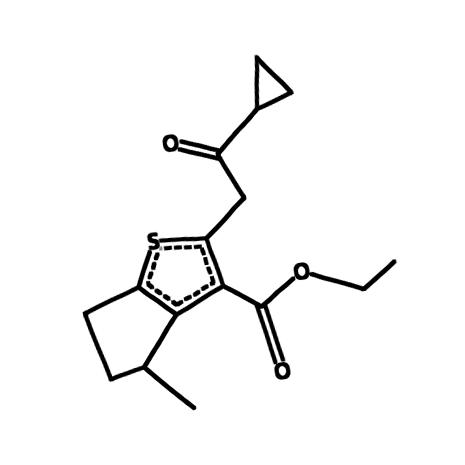 CCOC(=O)c1c(CC(=O)C2CC2)sc2c1C(C)CC2